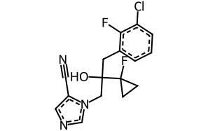 N#Cc1cncn1CC(O)(Cc1cccc(Cl)c1F)C1(F)CC1